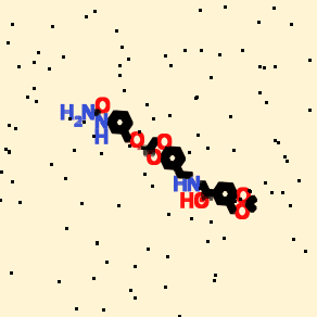 CC1(C)OCc2cc([C@@H](O)CNCCc3ccc4c(c3)O[C@H](COCc3cccc(NC(N)=O)c3)CO4)ccc2O1